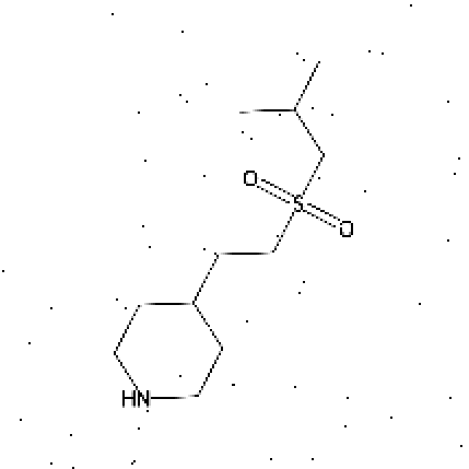 CC(C)CS(=O)(=O)CCC1CCNCC1